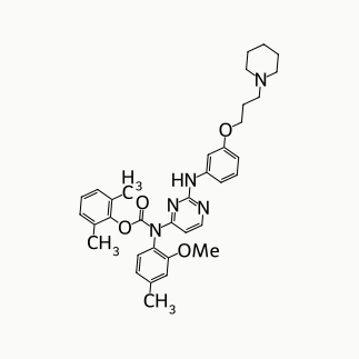 COc1cc(C)ccc1N(C(=O)Oc1c(C)cccc1C)c1ccnc(Nc2cccc(OCCCN3CCCCC3)c2)n1